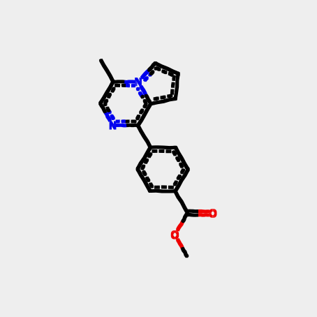 COC(=O)c1ccc(-c2ncc(C)n3cccc23)cc1